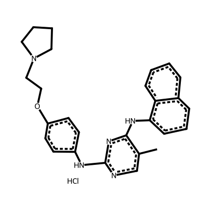 Cc1cnc(Nc2ccc(OCCN3CCCC3)cc2)nc1Nc1cccc2ccccc12.Cl